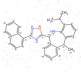 CC(C)c1cccc2c1NC(c1nc(-c3cccc4ccccc34)no1)c1ccccc1C2C